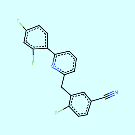 N#Cc1ccc(F)c(Cc2cccc(-c3ccc(F)cc3F)n2)c1